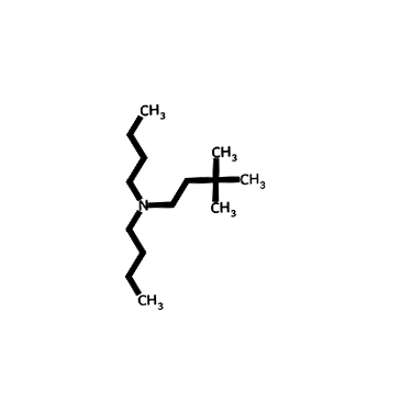 CCCCN(CCCC)CCC(C)(C)C